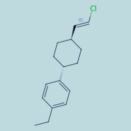 CCc1ccc([C@H]2CC[C@H](/C=C/Cl)CC2)cc1